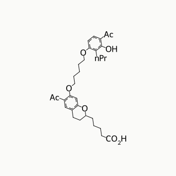 CCCc1c(OCCCCCOc2cc3c(cc2C(C)=O)CCC(CCCCC(=O)O)O3)ccc(C(C)=O)c1O